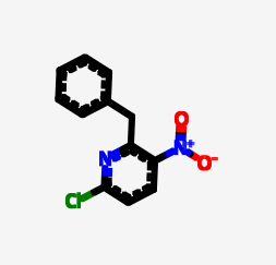 O=[N+]([O-])c1ccc(Cl)nc1Cc1ccccc1